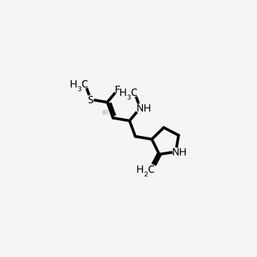 C=C1NCCC1CC(/C=C(\F)SC)NC